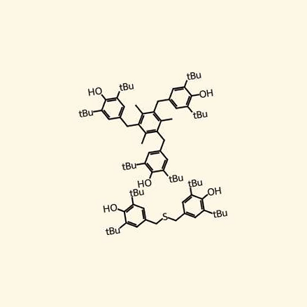 CC(C)(C)c1cc(CSCc2cc(C(C)(C)C)c(O)c(C(C)(C)C)c2)cc(C(C)(C)C)c1O.Cc1c(Cc2cc(C(C)(C)C)c(O)c(C(C)(C)C)c2)c(C)c(Cc2cc(C(C)(C)C)c(O)c(C(C)(C)C)c2)c(C)c1Cc1cc(C(C)(C)C)c(O)c(C(C)(C)C)c1